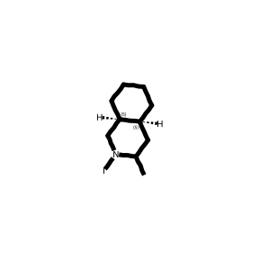 CC1C[C@@H]2CCCC[C@@H]2CN1I